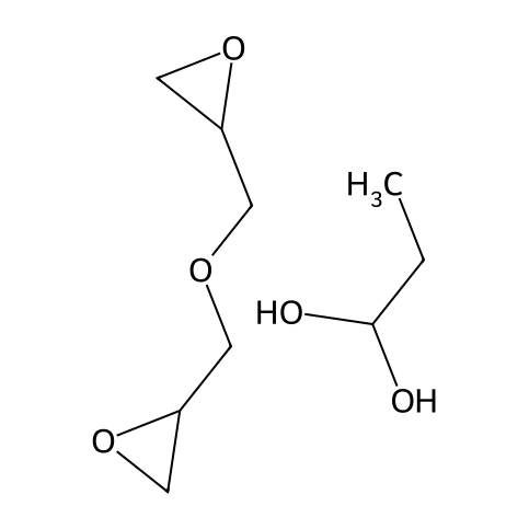 C(OCC1CO1)C1CO1.CCC(O)O